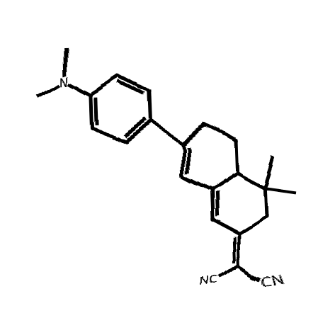 CN(C)c1ccc(C2=CC3=CC(=C(C#N)C#N)CC(C)(C)C3CC2)cc1